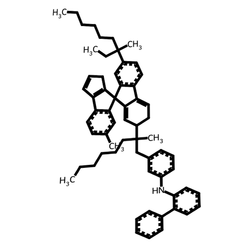 CCCCCCC(C)(CC)c1ccc2c(c1)C1(C3=CC(C(C)(CCCCCC)Cc4cccc(Nc5ccccc5-c5ccccc5)c4)CC=C32)C2=C(C=CC2)c2ccc(C)cc21